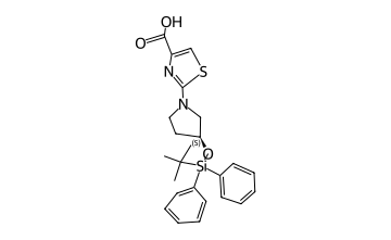 CC(C)(C)[Si](O[C@H]1CCN(c2nc(C(=O)O)cs2)C1)(c1ccccc1)c1ccccc1